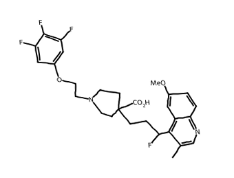 COc1ccc2ncc(C)c(C(F)CCC3(C(=O)O)CCN(CCOc4cc(F)c(F)c(F)c4)CC3)c2c1